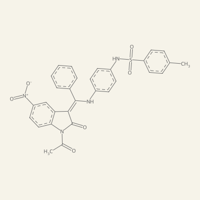 CC(=O)N1C(=O)/C(=C(\Nc2ccc(NS(=O)(=O)c3ccc(C)cc3)cc2)c2ccccc2)c2cc([N+](=O)[O-])ccc21